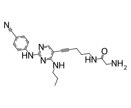 CCCNc1nc(Nc2ccc(C#N)cc2)ncc1C#CCCCNC(=O)CN